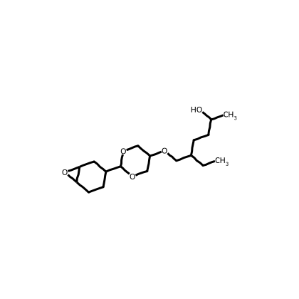 CCC(CCC(C)O)COC1COC(C2CCC3OC3C2)OC1